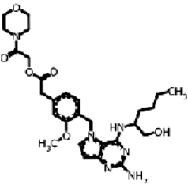 CCCCC(CO)Nc1nc(N)nc2ccn(Cc3ccc(CC(=O)OCC(=O)N4CCOCC4)cc3OC)c12